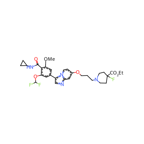 CCOC(=O)C1(F)CCN(CCCOc2ccn3c(-c4cc(OC)c(C(=O)NC5CC5)c(OC(F)F)c4)cnc3c2)CC1